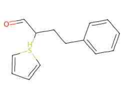 O=CC(CCc1ccccc1)[SH]1C=CC=C1